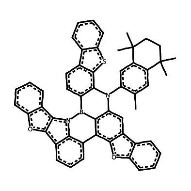 Cc1cc2c(cc1N1c3cc4c(oc5ccccc54)c4c3B(c3ccc5c(sc6ccccc65)c31)n1c3c-4cccc3c3oc4ccccc4c31)C(C)(C)CCC2(C)C